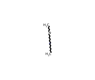 CCCCCC/C=C/CCCCC[N]CCCCC